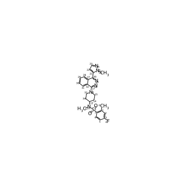 Cc1cc(F)ccc1S(=O)(=O)N(C)C1CCN(c2nnc(-c3ccnn3C)c3ccccc23)CC1